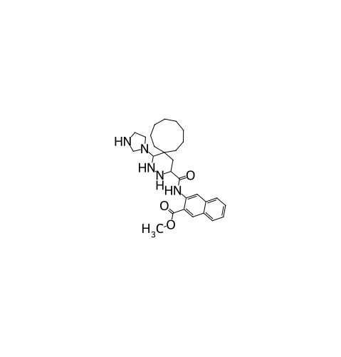 COC(=O)c1cc2ccccc2cc1NC(=O)C1CC2(CCCCCCCC2)C(N2CCNC2)NN1